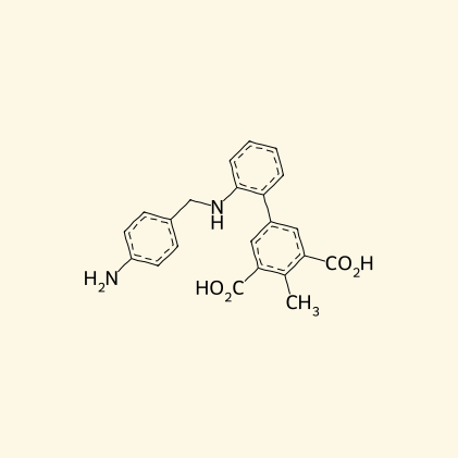 Cc1c(C(=O)O)cc(-c2ccccc2NCc2ccc(N)cc2)cc1C(=O)O